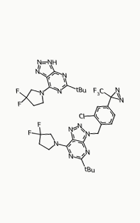 CC(C)(C)c1nc(N2CCC(F)(F)C2)c2nn[nH]c2n1.CC(C)(C)c1nc(N2CCC(F)(F)C2)c2nnn(Cc3ccc(C4(C(F)(F)F)N=N4)cc3Cl)c2n1